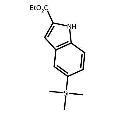 CCOC(=O)c1cc2cc([Si](C)(C)C)ccc2[nH]1